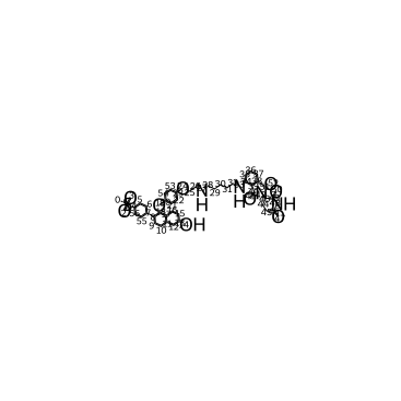 CS(=O)(=O)c1ccc(-c2ccc3cc(O)ccc3c2Oc2ccc(OCCNCCCCCNc3cccc4c3C(=O)N(C3CCC(=O)NC3=O)C4=O)cc2)cc1